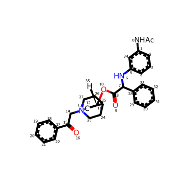 CC(=O)Nc1cccc(NC(C(=O)O[C@H]2C[N+]3(CC(=O)c4ccccc4)CCC2CC3)c2ccccc2)c1